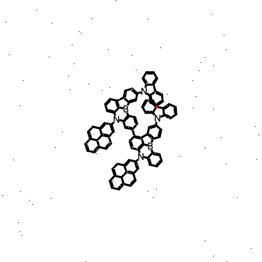 C1=CC2=CCc3cc(N4c5cc(-c6ccc7c8c6-c6cc(-n9c%10ccccc%10c%10ccccc%109)ccc6B8c6ccccc6N7c6cc7c8c(c6)CC=C6C=CC=C(C=C7)C68)ccc5B5c6cc(-n7c8ccccc8c8ccccc87)ccc6-c6cccc4c65)cc4c3C2C(=C1)C=C4